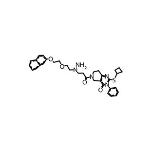 NN(CCOCCOc1ccc2ccccc2c1)CCC(=O)N1CCc2nc(SC3CCC3)n(-c3ccccc3)c(=O)c2C1